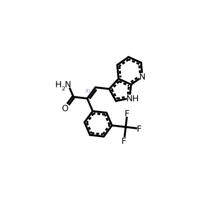 NC(=O)/C(=C/c1c[nH]c2ncccc12)c1cccc(C(F)(F)F)c1